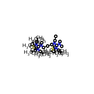 CC(C)(C)c1ccc(N2c3ccc(C(C)(C)C)cc3B3c4sc5c(c4N(c4ccc(C(C)(C)C)cc4)c4cc(N(c6ccccc6)c6cccc(-c7ccc(-c8ccc9c(c8)B8c%10sc%11c(c%10N(c%10ccc(C(C)(C)C)cc%10)c%10cc(N(c%12ccccc%12)c%12ccccc%12)cc(c%108)N9c8ccc(-c9ccccc9)cc8)C(C)(C)CCC%11(C)C)cc7)c6)cc2c43)C(C)(C)CCC5(C)C)cc1